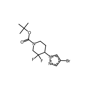 CC(C)(C)OC(=O)N1CCC(n2cc(Br)cn2)C(F)(F)C1